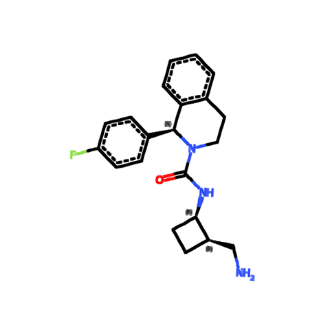 NC[C@H]1CC[C@H]1NC(=O)N1CCc2ccccc2[C@@H]1c1ccc(F)cc1